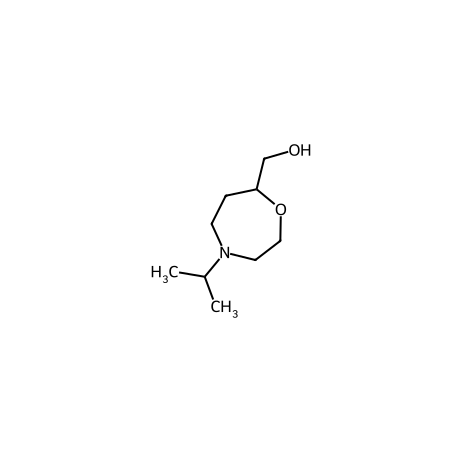 CC(C)N1CCOC(CO)CC1